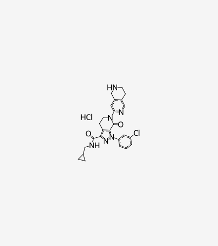 Cl.O=C(NCC1CC1)c1nn(-c2cccc(Cl)c2)c2c1CCN(c1cc3c(cn1)CCNC3)C2=O